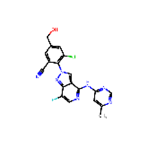 Cc1cc(Nc2ncc(F)c3nn(-c4c(Cl)cc(CO)cc4C#N)cc23)ncn1